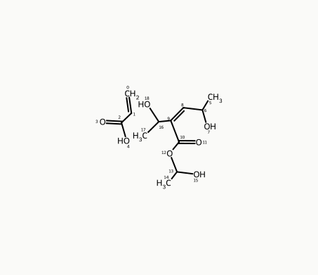 C=CC(=O)O.CC(O)C=C(C(=O)OC(C)O)C(C)O